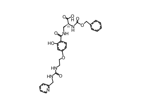 O=C(NCCOc1ccc(C(=O)NC[C@H](NC(=O)OCc2ccccc2)C(=O)O)c(O)c1)NCc1ccccn1